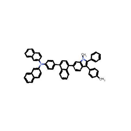 Cc1ccc(-c2c(-c3ccccc3)n(C)c3cc(-c4ccc(-c5ccc(N(c6ccc7ccccc7c6)c6ccc7ccccc7c6)cc5)c5ccccc45)ccc23)cc1